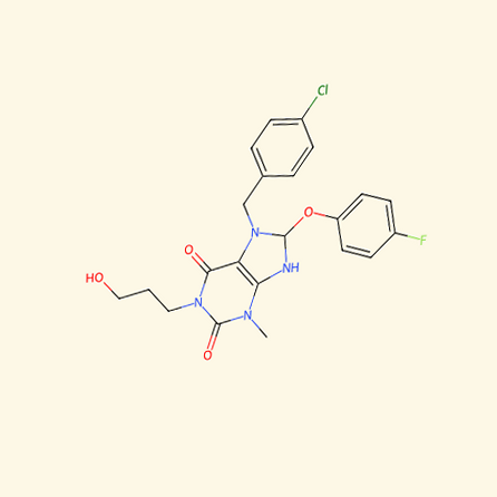 Cn1c2c(c(=O)n(CCCO)c1=O)N(Cc1ccc(Cl)cc1)C(Oc1ccc(F)cc1)N2